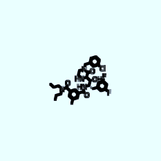 CCCN(CCC)C(=O)c1cc(C)cc(C(=O)N[C@@H](Cc2cc(F)cc(F)c2)[C@H](O)C2NCCN(Cc3cccc(Cl)c3)C2=O)c1